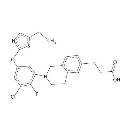 CCc1cnc(Oc2cc(Cl)c(F)c(N3CCc4cc(CCC(=O)O)ccc4C3)c2)s1